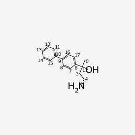 CC(O)(CCN)c1ccc(-c2ccccc2)cc1